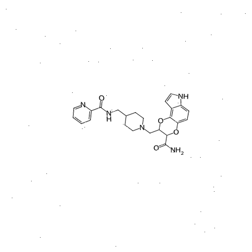 NC(=O)C1Oc2ccc3[nH]ccc3c2OC1CN1CCC(CNC(=O)c2ccccn2)CC1